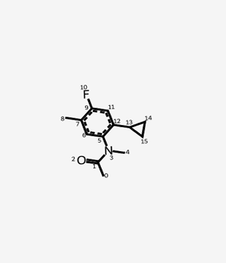 CC(=O)N(C)c1cc(C)c(F)cc1C1CC1